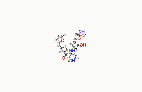 Cc1ccc(Cc2csc(C(=O)c3cncnc3N[C@@H]3CC(COS(N)(=O)=O)[C@@H](O)C3)c2)o1